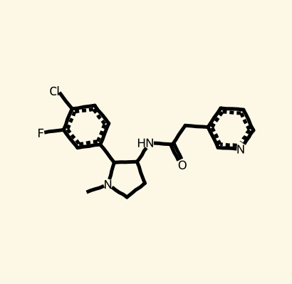 CN1CCC(NC(=O)Cc2cccnc2)C1c1ccc(Cl)c(F)c1